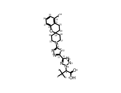 CC(C)(C)C(C(=O)O)n1nnc(-c2nnc(N3CCC4(CCc5c(I)cccc5O4)CC3)s2)n1